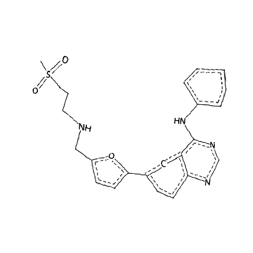 CS(=O)(=O)CCNCc1ccc(-c2ccc3ncnc(Nc4ccccc4)c3c2)o1